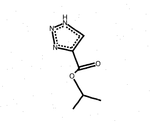 CC(C)OC(=O)c1c[nH]nn1